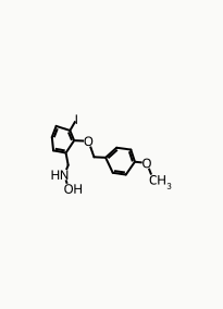 COc1ccc(COc2c(I)cccc2CNO)cc1